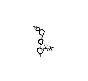 C[C@H]1CC[C@H](c2ccc(N3CCCC4(CN(C)C4)C3)cc2)N(C(=O)OC(C)(C)C)C1